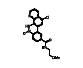 COCCNC(=O)c1ccc2c(c1)-c1cc(Cl)c3cccnc3c1N[S+]2[O-]